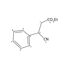 CCOC(=O)CC(C#N)c1ccccc1